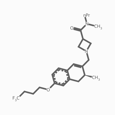 CCCN(C)C(=O)C1CN(CC2=Cc3ccc(OCCCC(F)(F)F)cc3C[C@@H]2C)C1